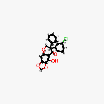 O=C1c2c(cc3c(c2O)OCO3)OCC1(c1ccccc1)c1cccc(Cl)c1